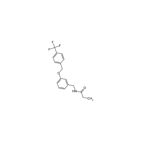 CCC(=O)NCc1cccc(OCc2ccc(C(F)(F)F)cc2)c1